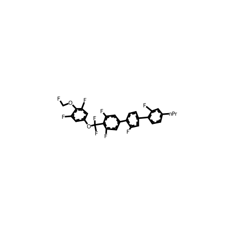 CCCc1ccc(-c2ccc(-c3cc(F)c(C(F)(F)Oc4cc(F)c(OCF)c(F)c4)c(F)c3)c(F)c2)c(F)c1